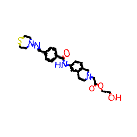 O=C(CN1CCc2cc(NC(=O)c3ccc(C=NN4CCSCC4)cc3)ccc2C1)OCCO